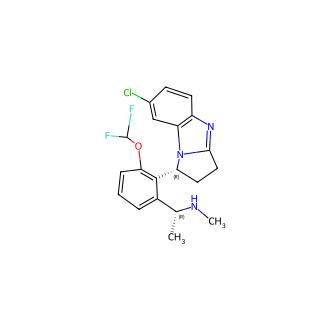 CN[C@H](C)c1cccc(OC(F)F)c1[C@H]1CCc2nc3ccc(Cl)cc3n21